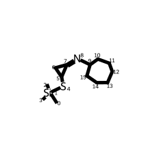 C[Si](C)(C)SC1C/C1=N/C1CCCCCC1